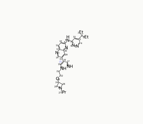 CCC(CC)c1cnnc(Nc2ccc3ncc(/C(C=N)=C/NCCOC4CN(C(C)C)C4)cc3n2)c1